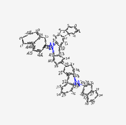 c1ccc2c(c1)Cc1cc3c(cc1-2)c1cc(-c2ccc4c(c2)c2ccccc2n4-c2ccc4ccccc4c2)ccc1n3-c1ccc2ccccc2c1